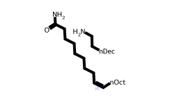 CCCCCCCC/C=C\CCCCCCCC(N)=O.CCCCCCCCCCCCN